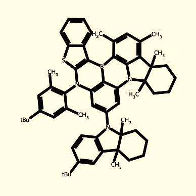 Cc1cc(C)c2c3c1B1c4c(cc(N5c6ccc(C(C)(C)C)cc6C6(C)CCCCC56C)cc4N3C3(C)CCCCC23C)N(c2c(C)cc(C(C)(C)C)cc2C)c2sc3ccccc3c21